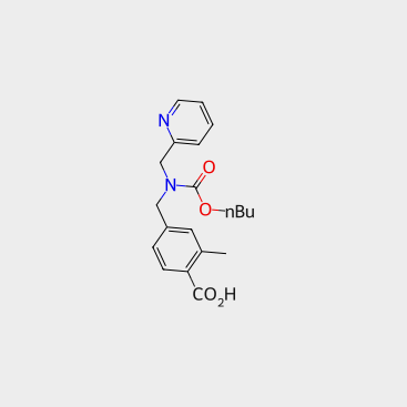 CCCCOC(=O)N(Cc1ccc(C(=O)O)c(C)c1)Cc1ccccn1